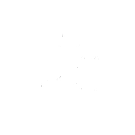 O.O=C([O-])CC(CC(=O)[O-])(OO)C(=O)[O-].[K+].[K+].[K+]